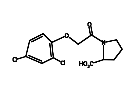 O=C(O)C1CCCN1C(=O)COc1ccc(Cl)cc1Cl